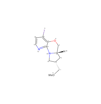 COC[C@H]1C[C@H]2COc3c(I)ccnc3N2C1